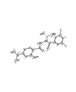 CCC[C@@H](N(NC(=O)c1ccc(B(O)O)cc1C(C)C)C(=O)c1cc(C)cc(C)c1)C(C)(C)C